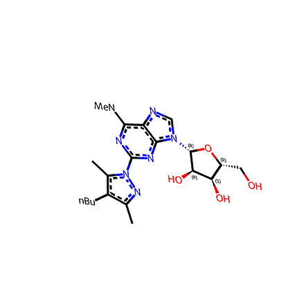 CCCCc1c(C)nn(-c2nc(NC)c3ncn([C@@H]4O[C@H](CO)[C@@H](O)[C@H]4O)c3n2)c1C